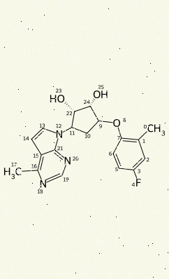 Cc1cc(F)ccc1OC1CC(n2ccc3c(C)ncnc32)[C@H](O)[C@@H]1O